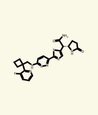 NC(=O)C(c1cnc(-c2ccc(NCC3(c4ncccc4F)CCC3)nn2)s1)[C@@H]1CCC(=O)N1